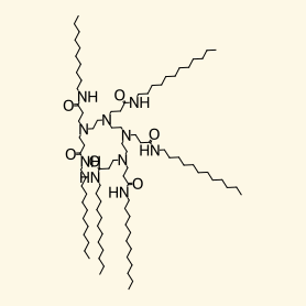 CCCCCCCCCCCCNC(=O)CCN(CCC(=O)NCCCCCCCCCC)CCN(CCC(=O)NCCCCCCCCCCCC)CCN(CCC(=O)NCCCCCCCCCCCC)CCN(CCC(=O)NCCCCCCCCCCCC)CCC(=O)NCCCCCCCCCCCC